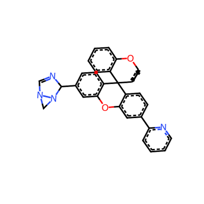 C1=NC(c2ccc3c(c2)Oc2cc(-c4ccccn4)ccc2C32c3ccccc3Oc3ccccc32)N2CN12